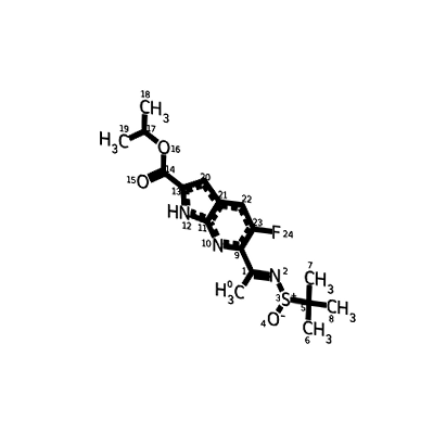 C/C(=N\[S+]([O-])C(C)(C)C)c1nc2[nH]c(C(=O)OC(C)C)cc2cc1F